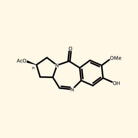 COc1cc2c(cc1O)N=CC1C[C@@H](OC(C)=O)CN1C2=O